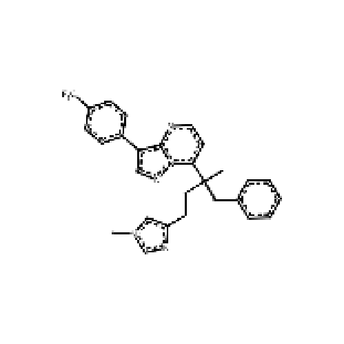 Cn1cnc(C[CH]C(C)([CH]c2ccccc2)c2ccnc3c(-c4ccc(C(F)(F)F)cc4)cnn23)c1